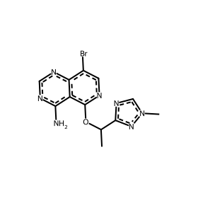 CC(Oc1ncc(Br)c2ncnc(N)c12)c1ncn(C)n1